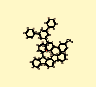 Cc1cccc(-c2cc(-c3nc(-c4ccccc4)nc(-c4ccccc4)n3)ccc2-n2c3ccccc3c3ccc4c5ccccc5n(-c5ccccc5)c4c32)c1